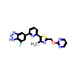 Cc1nc(COc2ncccn2)sc1-c1cccc(-c2cc(F)c3[nH]nnc3c2)n1